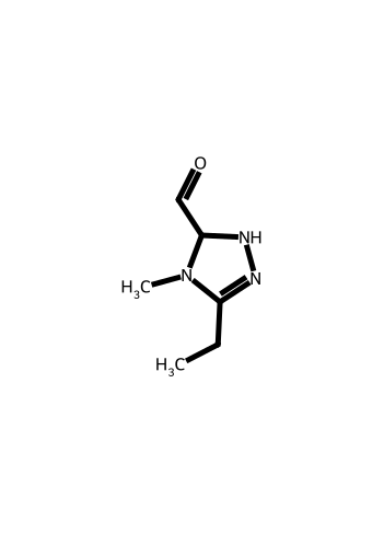 CCC1=NNC(C=O)N1C